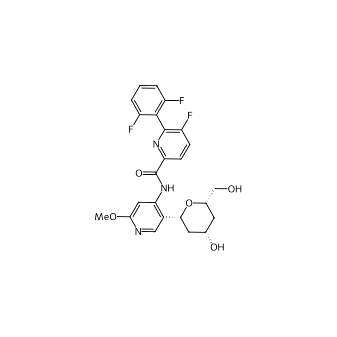 COc1cc(NC(=O)c2ccc(F)c(-c3c(F)cccc3F)n2)c([C@H]2C[C@@H](O)C[C@@H](CO)O2)cn1